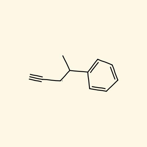 C#C[CH]C(C)c1ccccc1